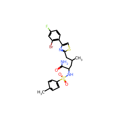 Cc1ccc(S(=O)(=O)NC(CC(C)Cc2nc(-c3ccc(F)cc3Br)cs2)C(N)=O)cc1